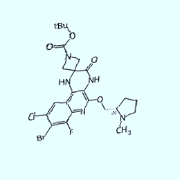 CN1CCC[C@H]1COc1nc2c(F)c(Br)c(Cl)cc2c2c1NC(=O)C1(CN(C(=O)OC(C)(C)C)C1)N2